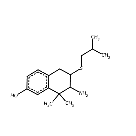 CC(C)CSC1Cc2ccc(O)cc2C(C)(C)C1N